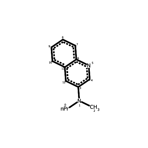 CCCN(C)c1[c]nc2ccccc2c1